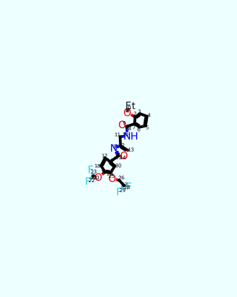 CCOc1ccccc1C(=O)NCc1coc(-c2ccc(OC(F)F)c(OCC(F)F)c2)n1